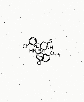 CC(C)Oc1ccc(F)c(F)c1[C@@H]1NC(=S)C[C@@H](c2cccc(Cl)c2)[C@]12C(=O)Nc1cc(Cl)ccc12